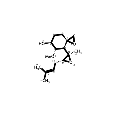 CO[C@@H]1[C@@H](O)CC[C@]2(CO2)[C@H]1[C@@]1(C)O[C@@H]1CC=C(C)C